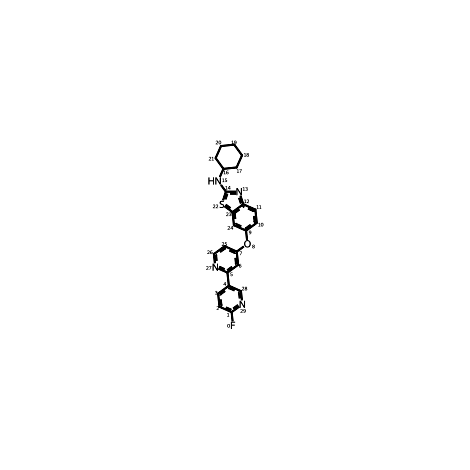 Fc1ccc(-c2cc(Oc3ccc4nc(NC5CCCCC5)sc4c3)ccn2)cn1